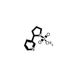 CS(=O)(=O)N1CCCC1c1cccnc1